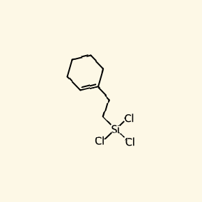 Cl[Si](Cl)(Cl)CCC1=CCCCC1